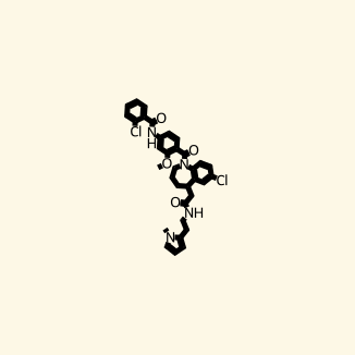 COc1cc(NC(=O)c2ccccc2Cl)ccc1C(=O)N1CCCC(CC(=O)NCCc2cccn2C)c2cc(Cl)ccc21